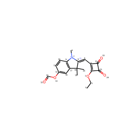 CCOc1c(/C=C2/N(C)c3ccc(OC=O)cc3C2(C)C)c(=O)c1=O